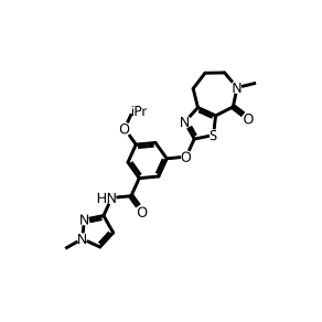 CC(C)Oc1cc(Oc2nc3c(s2)C(=O)N(C)CCC3)cc(C(=O)Nc2ccn(C)n2)c1